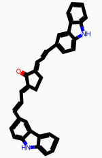 O=C1/C(=C/C=Cc2ccc3[nH]c4ccccc4c3c2)CC/C1=C\C=Cc1ccc2[nH]c3ccccc3c2c1